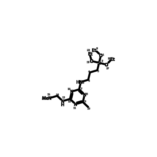 CCO[Si](CCCNc1nc(C)nc(NCNC)n1)(OCC)OCC